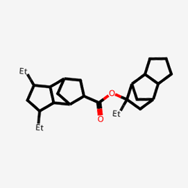 CCC1CC(CC)C2C3CC(CC3C(=O)OC3(CC)CC4CC3C3CCCC43)C12